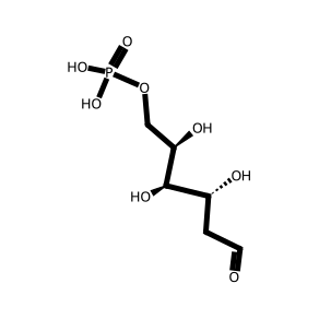 O=CC[C@@H](O)[C@@H](O)[C@H](O)COP(=O)(O)O